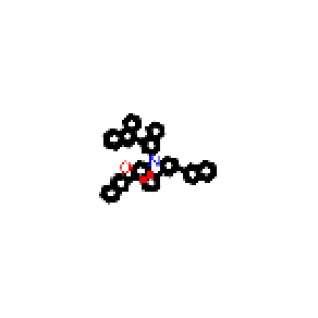 c1ccc(-c2cc(-c3ccc4ccccc4c3)ccc2N(c2cc(-c3cc4ccccc4c4ccccc34)c3ccccc3c2)c2ccc3c(c2)oc2cc4ccccc4cc23)cc1